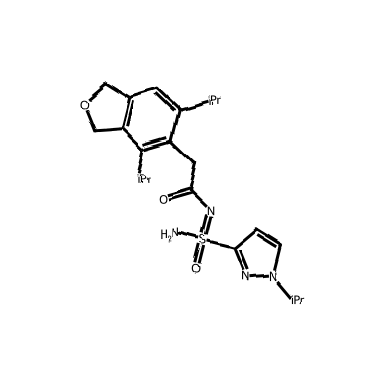 CC(C)c1cc2c(c(C(C)C)c1CC(=O)N=S(N)(=O)c1ccn(C(C)C)n1)COC2